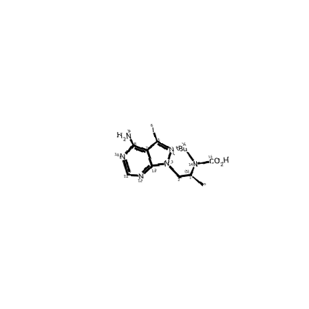 C[C@@H](Cn1nc(I)c2c(N)ncnc21)N(C(=O)O)C(C)(C)C